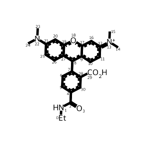 CCNC(=O)c1ccc(-c2c3ccc(=[N+](C)C)cc-3oc3cc(N(C)C)ccc23)c(C(=O)O)c1